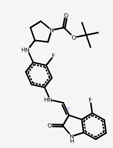 CC(C)(C)OC(=O)N1CCC(Nc2ccc(N/C=C3\C(=O)Nc4cccc(F)c43)cc2F)C1